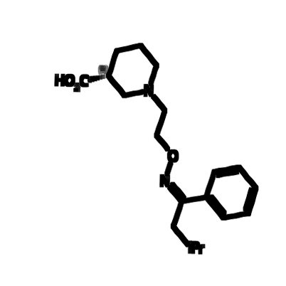 CC(C)CC(=NOCCN1CCC[C@@H](C(=O)O)C1)c1ccccc1